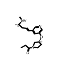 CCC(=O)N1CC[C@H](Oc2cncc(C=CC[C@H](C)NC)c2)C1